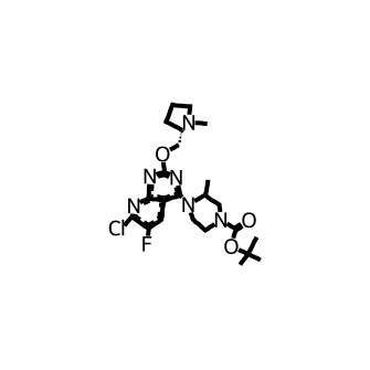 CC1CN(C(=O)OC(C)(C)C)CCN1c1nc(OC[C@@H]2CCCN2C)nc2nc(Cl)c(F)cc12